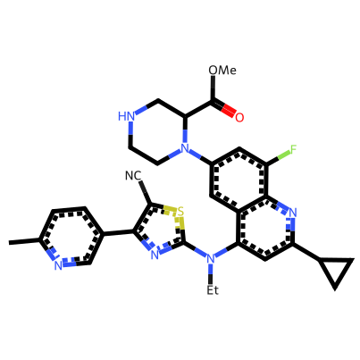 CCN(c1nc(-c2ccc(C)nc2)c(C#N)s1)c1cc(C2CC2)nc2c(F)cc(N3CCNCC3C(=O)OC)cc12